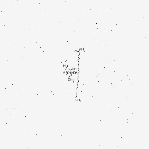 CCCCCCCCCCCCCCCCCCCCCC(N)=O.CCC[N+](C)(C)C(O)CC.[Cl-]